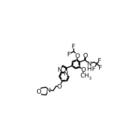 COc1cc(-c2cnc3cc(OCCN4CCOCC4)ccn23)cc(OC(F)F)c1C(=O)NCC(F)(F)F